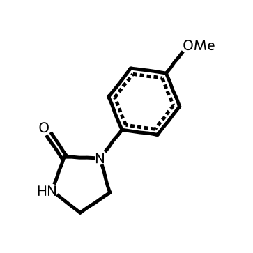 COc1ccc(N2CCNC2=O)cc1